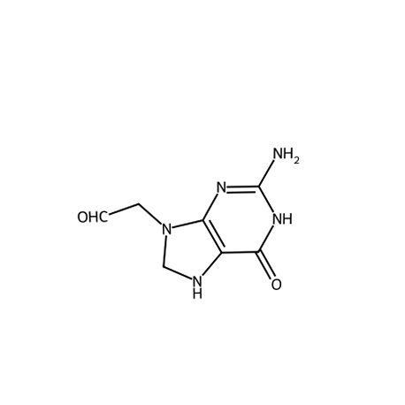 Nc1nc2c(c(=O)[nH]1)NCN2CC=O